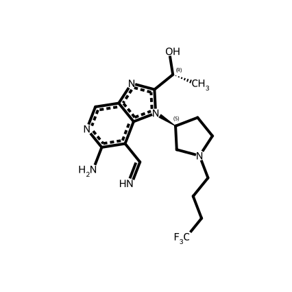 C[C@@H](O)c1nc2cnc(N)c(C=N)c2n1[C@H]1CCN(CCCC(F)(F)F)C1